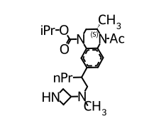 CCCC(CN(C)C1CNC1)c1ccc2c(c1)N(C(=O)OC(C)C)C[C@H](C)N2C(C)=O